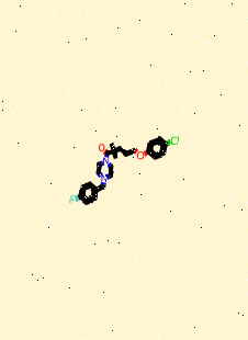 CC(C)(CCCOc1ccc(Cl)cc1)C(=O)N1CCN(Cc2ccc(F)cc2)CC1